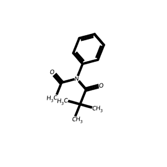 CC(=O)N(C(=O)C(C)(C)C)c1ccccc1